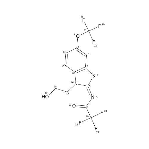 O=C(N=c1sc2cc(OC(F)(F)F)ccc2n1CCO)C(F)(F)F